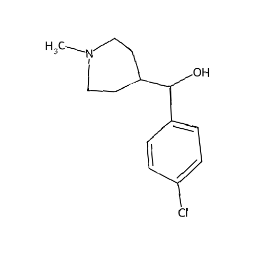 CN1CCC(C(O)c2ccc(Cl)cc2)CC1